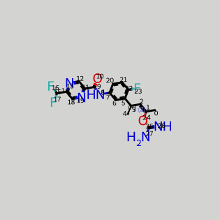 C/C(=C/[C@@H](C)c1cc(NC(=O)c2cnc(C(F)F)cn2)ccc1F)OC(=N)N